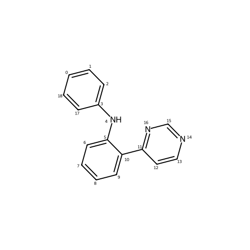 c1ccc(Nc2ccccc2-c2ccncn2)cc1